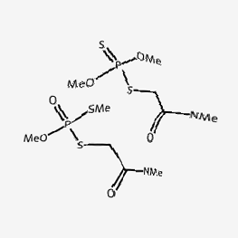 CNC(=O)CSP(=O)(OC)SC.CNC(=O)CSP(=S)(OC)OC